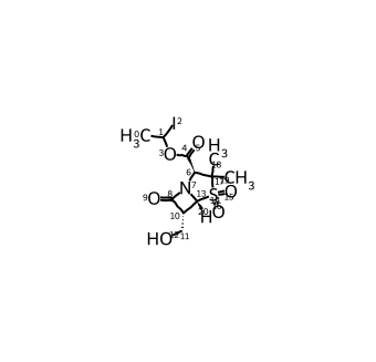 CC(I)OC(=O)[C@@H]1N2C(=O)[C@@H](CO)[C@H]2S(=O)(=O)C1(C)C